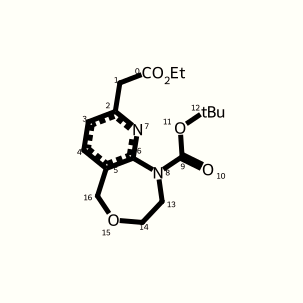 CCOC(=O)Cc1ccc2c(n1)N(C(=O)OC(C)(C)C)CCOC2